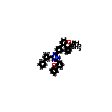 BC1(B)Oc2cccc(-c3ccc(-c4nc(-c5cccc(-c6ccccc6)c5)nc(-c5cccc6c5oc5ccccc56)n4)cc3)c2-c2ccccc21